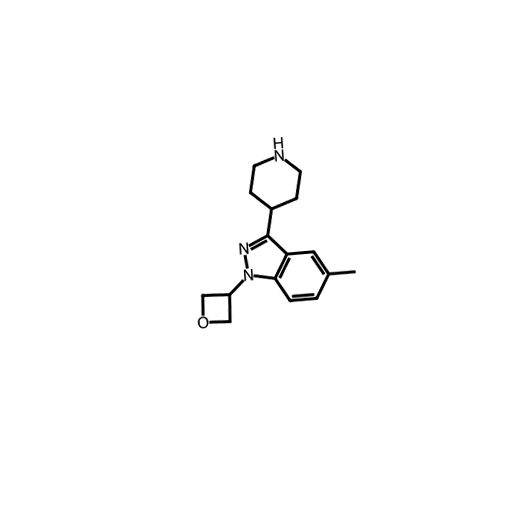 Cc1ccc2c(c1)c(C1CCNCC1)nn2C1COC1